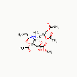 CCC(=O)N[C@H]1[C@H]([C@H](C)[C@@H](COC(C)=O)OC(C)=O)O[C@@](O)(C(=O)OC)C[C@@H]1OC(C)=O